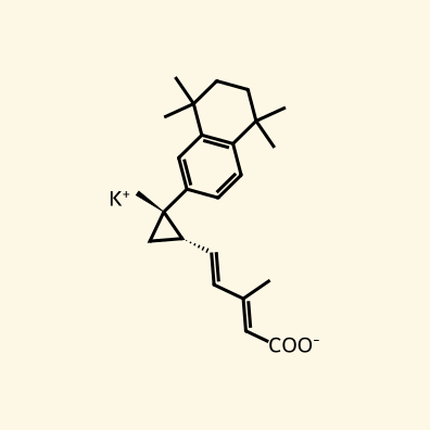 CC(/C=C/[C@@H]1C[C@]1(C)c1ccc2c(c1)C(C)(C)CCC2(C)C)=C\C(=O)[O-].[K+]